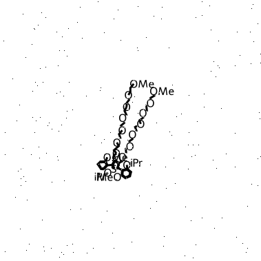 COCCOCCOCCOCCOCCOCCOCc1c(-c2c(OC)cccc2OC(C)C)sc(-c2c(OC)cccc2OC(C)C)c1COCCOCCOCCOCCOCCOCCOC